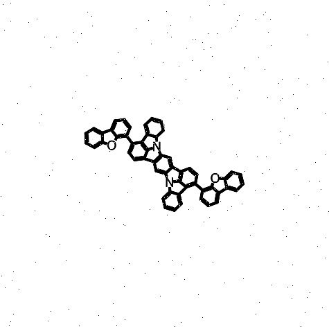 C1=CCC2C(=C1)c1c(-c3cccc4c3oc3ccccc34)ccc3c4cc5c(cc4n2c13)c1ccc(-c2cccc3c2oc2ccccc23)c2c3ccccc3n5c12